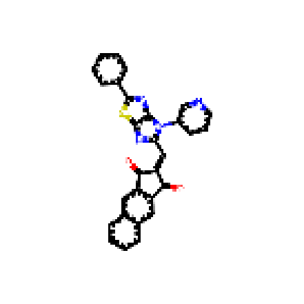 O=C1C(=Cc2nc3sc(-c4ccccc4)nc3n2-c2cccnc2)C(=O)c2cc3ccccc3cc21